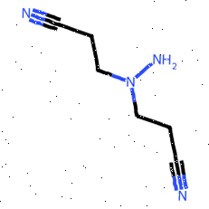 N#CCCN(N)CCC#N